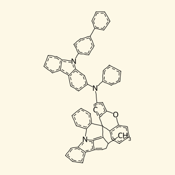 CC1CC=c2c3n(c4ccccc24)-c2ccccc2C2(C=31)c1ccccc1Oc1cc(N(c3ccccc3)c3ccc4c5ccccc5n(-c5ccc(-c6ccccc6)cc5)c4c3)ccc12